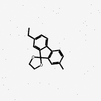 CCc1ccc2c(c1)C1(OCCO1)c1cc(C)ccc1-2